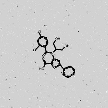 O=C(O)c1sc(-c2ccccc2)cc1N(C(=O)c1ccc(Cl)cc1Cl)C(CO)CO